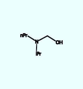 CCCN(CO)C(C)C